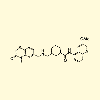 COc1cnc2cccc(NC(=O)C3CCCC(CNCc4ccc5c(c4)NC(=O)CS5)C3)c2c1